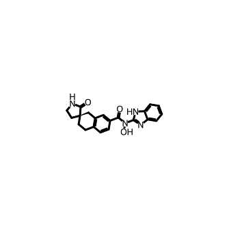 O=C(c1ccc2c(c1)C[C@]1(CCNC1=O)CC2)N(O)c1nc2ccccc2[nH]1